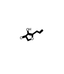 C=CCC1=C(O)C(=O)CO1